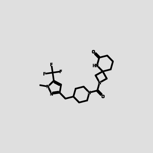 Cn1nc(CC2CCN(C(=O)N3CC4(CCCC(=O)N4)C3)CC2)cc1C(F)(F)F